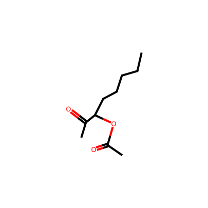 CCCCCC(OC(C)=O)C(C)=O